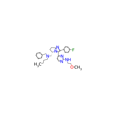 CCCCN(Cc1ccccc1)C[C@@H]1CCc2nc(-c3ccc(F)cc3)c(-c3ccnc(NCCOC)n3)n21